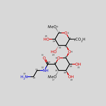 CO[C@@H]1OC(C(=O)O)[C@@H](O[C@@H]2OC(C(=O)NCCN)[C@@H](OC)[C@H](O)C2O)[C@H](O)C1O